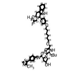 Cc1ncsc1-c1ccc(CNC(=O)[C@@H]2C[C@@H](O)CN2C(=O)[C@@H](NC(=O)COCCCCCCOc2ccc([C@@H]3c4[nH]c5ccccc5c4C[C@@H](C)N3CC(F)F)nc2)C(C)(C)C)cc1